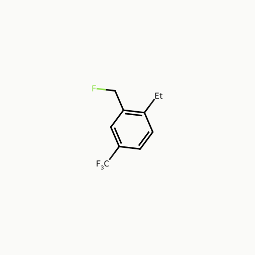 CCc1ccc(C(F)(F)F)cc1CF